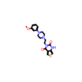 COc1cccc(N2CCN(CCn3c(=O)[nH]c4cscc4c3=O)CC2)c1